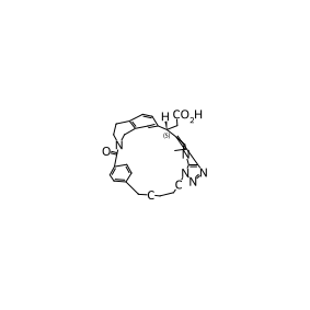 Cc1c2cnc3c1nnn3CCCCCc1ccc(cc1)C(=O)N1CCc3ccc(cc3C1)[C@@H]2CC(=O)O